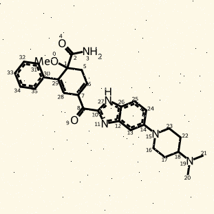 COC1(C(N)=O)CC=C(C(=O)c2nc3cc(N4CCC(N(C)C)CC4)ccc3[nH]2)C=C1c1ccccc1